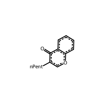 CCCCCc1coc2ccccc2c1=O